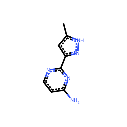 Cc1cc(-c2nccc(N)n2)n[nH]1